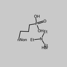 Br.CCCCCCCCCCCCP(=O)(O)O.CCN(CC)CC